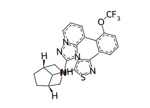 Cc1cc(N2C[C@H]3CC[C@@H](C2)C3Nc2nc3c(-c4ccccc4OC(F)(F)F)cccn3n2)sn1